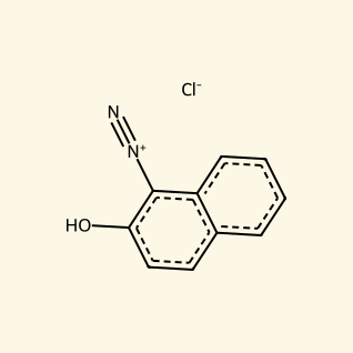 N#[N+]c1c(O)ccc2ccccc12.[Cl-]